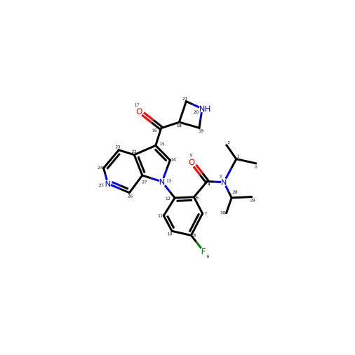 CC(C)N(C(=O)c1cc(F)ccc1-n1cc(C(=O)C2CNC2)c2ccncc21)C(C)C